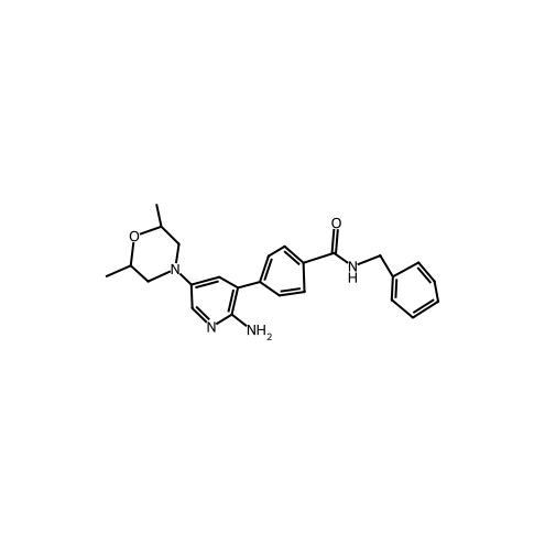 CC1CN(c2cnc(N)c(-c3ccc(C(=O)NCc4ccccc4)cc3)c2)CC(C)O1